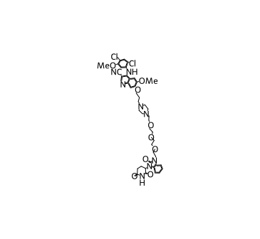 COc1cc(Nc2c(C#N)cnc3cc(OCCCN4CCN(CCOCCOCCOCCn5c(=O)n(C6CCC(=O)NC6=O)c6ccccc65)CC4)c(OC)cc23)c(Cl)cc1Cl